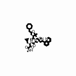 CNC(=O)C(=O)[C@H](CC1CC1)NC(=O)[C@@H]1C[C@]2(CC(c3cccc4cccnc34)=NO2)CN1C(=O)[C@@H](CC(=O)CC1CCCCCC1)C(C)(C)C